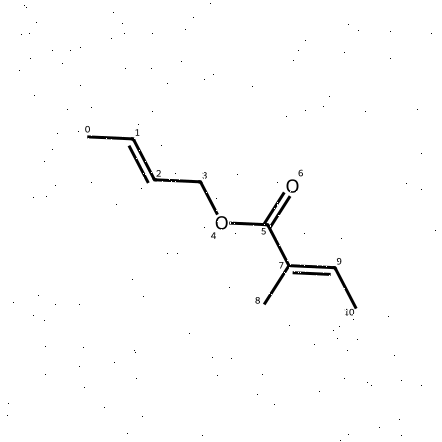 C/C=C/COC(=O)/C(C)=C/C